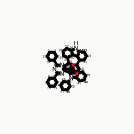 c1ccc(-c2nc(-c3ccccc3)nc(-c3cccc(-c4cccc5[nH]c6cccc(-c7ccc8c(c7)c7ccccc7n8-c7ccccc7)c6c45)c3)n2)cc1